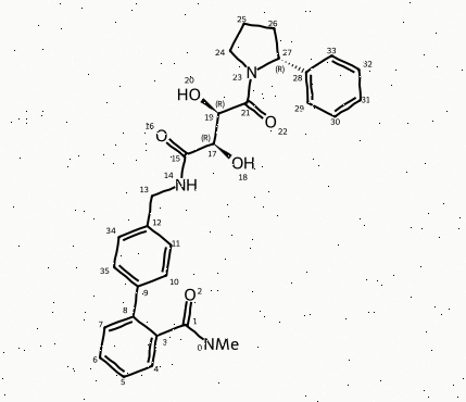 CNC(=O)c1ccccc1-c1ccc(CNC(=O)[C@H](O)[C@@H](O)C(=O)N2CCC[C@@H]2c2ccccc2)cc1